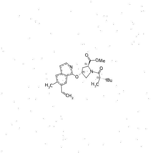 C=Cc1cc2c(O[C@@H]3C[C@@H](C(=O)OC)N(C(=O)[C@@H](C)C(C)(C)C)C3)nccc2cc1C